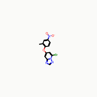 Cc1cc([N+](=O)[O-])ccc1Oc1cc(Br)n2ncnc2c1